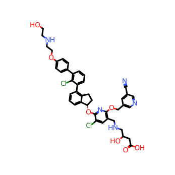 N#Cc1cncc(COc2nc(O[C@H]3CCc4c(-c5cccc(-c6ccc(OCCNCCO)cc6)c5Cl)cccc43)c(Cl)cc2CNCC(O)CC(=O)O)c1